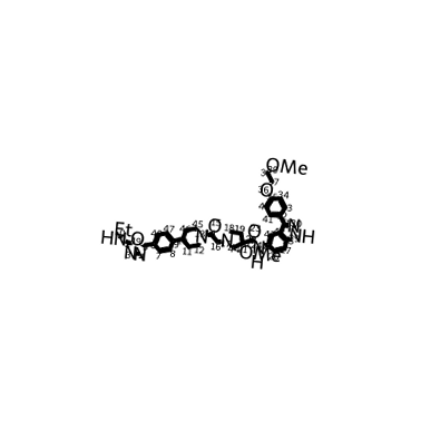 CCNc1nnc(-c2ccc(C3CCN(C(=O)CN4CC[C@@](OC)(C(=O)Nc5ccc6[nH]nc(-c7ccc(OCCOC)cc7)c6c5)C4)CC3)cc2)o1